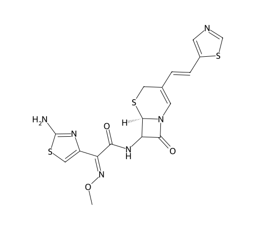 CON=C(C(=O)NC1C(=O)N2C=C(C=Cc3cncs3)CS[C@H]12)c1csc(N)n1